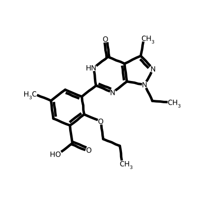 CCCOc1c(C(=O)O)cc(C)cc1-c1nc2c(c(C)nn2CC)c(=O)[nH]1